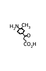 Cc1cc(C(=O)CCC(=O)O)ccc1N